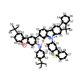 CC(C)(C)c1ccc(N2B3c4cc5sc6ccccc6c5cc4-n4c5cc6c(cc5c5ccc(c3c54)-c3cc4c(cc32)oc2ccc(C(C)(C)C)cc24)-c2ccccc2C6(C)C)cc1